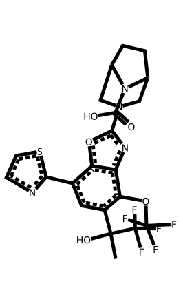 CC(O)(c1cc(-c2nccs2)c2oc(N3CC4CCC(C3)N4C(=O)O)nc2c1OC(F)(F)F)C(F)(F)F